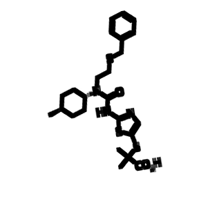 CC(C)(Sc1cnc(NC(=O)N(CCSCc2ccccc2)[C@H]2CC[C@H](C)CC2)s1)C(=O)O